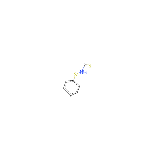 S=[C]NSc1cc[c]cc1